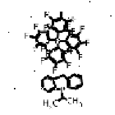 CC(C)[I+]c1ccccc1Cc1ccccc1.Fc1c(F)c(F)c([B-](c2c(F)c(F)c(F)c(F)c2F)(c2c(F)c(F)c(F)c(F)c2F)c2c(F)c(F)c(F)c(F)c2F)c(F)c1F